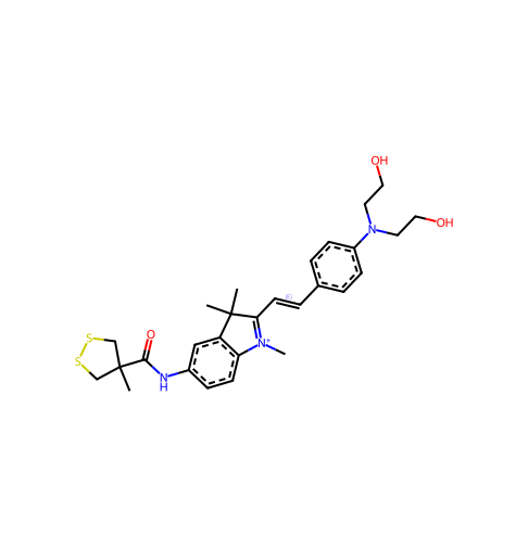 C[N+]1=C(/C=C/c2ccc(N(CCO)CCO)cc2)C(C)(C)c2cc(NC(=O)C3(C)CSSC3)ccc21